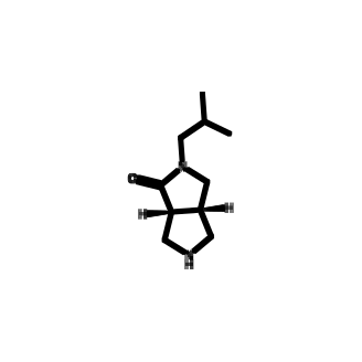 CC(C)CN1C[C@@H]2CNC[C@@H]2C1=O